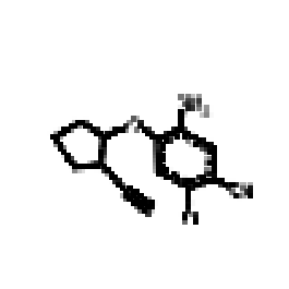 C#CC1CCCC1Oc1cc(Cl)c(C#N)cc1N